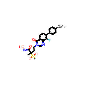 COc1ccc(-c2ccc3c(=O)n(CCC(C)(C(=O)NO)S(C)(=O)=O)cnc3c2F)cc1